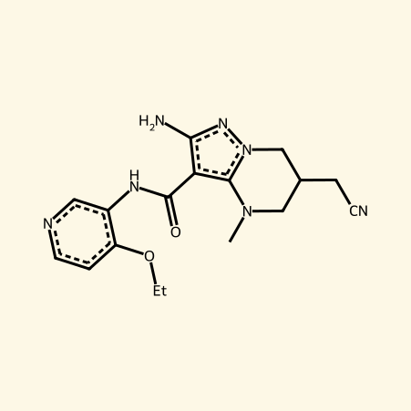 CCOc1ccncc1NC(=O)c1c(N)nn2c1N(C)CC(CC#N)C2